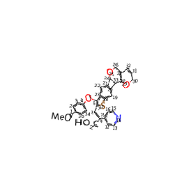 COc1ccc(Oc2c(/C=C(/C(=O)O)c3ccncc3)sc3cc4c(cc23)C2OCC3=C(OCC=C3)C42)cc1